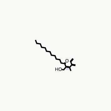 C=CC(=C)/C(C)=C(/CO)C(=O)CCCCCCCCCCCC